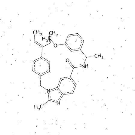 C=C/C(=C\C)c1ccc(Cn2c(C)nc3ccc(C(=O)N[C@@H](C)c4cccc(OC)c4)cc32)cc1